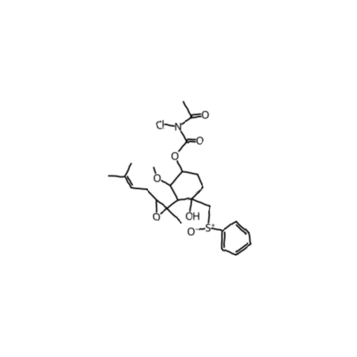 COC1C(OC(=O)N(Cl)C(C)=O)CCC(O)(C[S+]([O-])c2ccccc2)C1C1(C)OC1CC=C(C)C